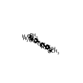 CC(=O)Nc1ccc(-c2ccc(OCC3CCN(C(=O)OC(C)(C)C)CC3)cn2)cc1